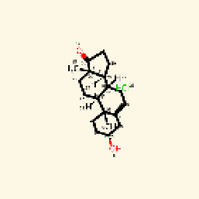 C[C@]12CC[C@H](O)CC1=CC[C@@H]1[C@@H]2CC[C@]2(C)C(=O)CC[C@@H]12.Cl